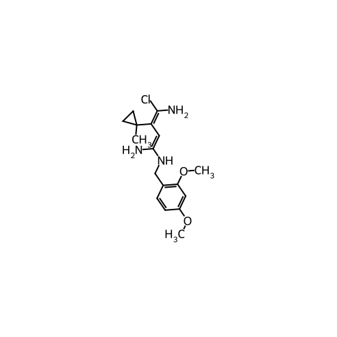 COc1ccc(CN/C(N)=C/C(=C(\N)Cl)C2(C)CC2)c(OC)c1